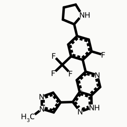 Cn1cc(-c2n[nH]c3cnc(-c4c(F)cc(C5CCCN5)cc4C(F)(F)F)cc23)cn1